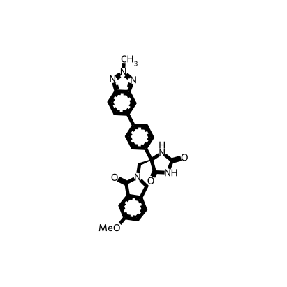 COc1ccc2c(c1)C(=O)N(C[C@@]1(c3ccc(-c4ccc5nn(C)nc5c4)cc3)NC(=O)NC1=O)C2